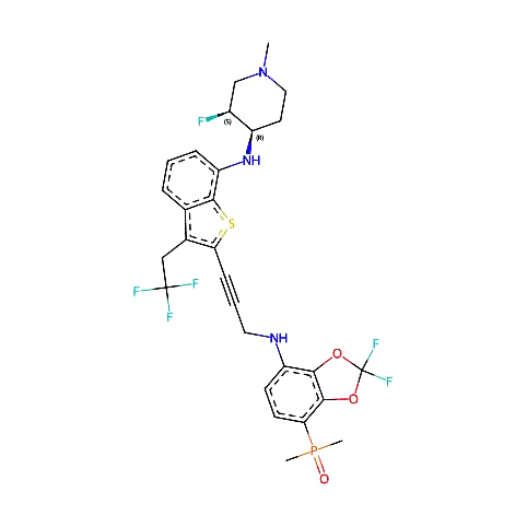 CN1CC[C@@H](Nc2cccc3c(CC(F)(F)F)c(C#CCNc4ccc(P(C)(C)=O)c5c4OC(F)(F)O5)sc23)[C@@H](F)C1